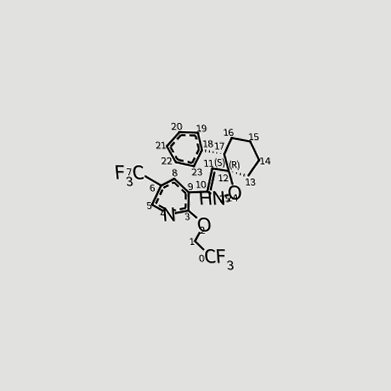 FC(F)(F)COc1ncc(C(F)(F)F)cc1C1=C[C@]2(CCCC[C@H]2c2ccccc2)ON1